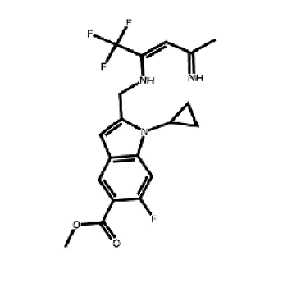 COC(=O)c1cc2cc(CN/C(=C\C(C)=N)C(F)(F)F)n(C3CC3)c2cc1F